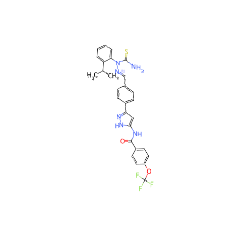 CC(C)c1ccccc1N(/N=C/c1ccc(-c2cc(NC(=O)c3ccc(OC(F)(F)F)cc3)[nH]n2)cc1)C(N)=S